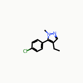 CCc1cnn(C)c1-c1ccc(Cl)cc1